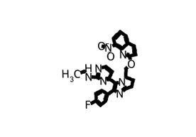 CCNc1nccc(-c2c(-c3ccc(F)cc3)nc3n2C(COc2ccc4cccc([N+](=O)[O-])c4n2)CC3)n1